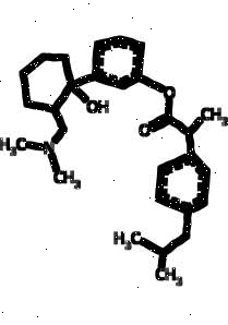 CC(C)Cc1ccc(C(C)C(=O)Oc2cccc(C3(O)CCCCC3CN(C)C)c2)cc1